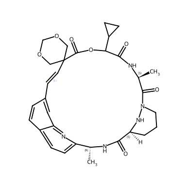 C[C@@H]1NC(=O)C(C2CC2)OC(=O)C2(/C=C/c3ccc4ccc(nc4c3)[C@@H](C)NC(=O)[C@@H]3CCCN(N3)C1=O)COCOC2